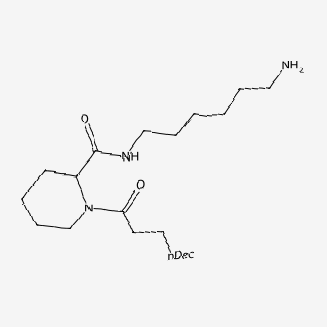 CCCCCCCCCCCCC(=O)N1CCCCC1C(=O)NCCCCCCN